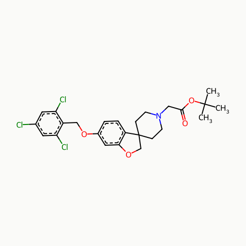 CC(C)(C)OC(=O)CN1CCC2(CC1)COc1cc(OCc3c(Cl)cc(Cl)cc3Cl)ccc12